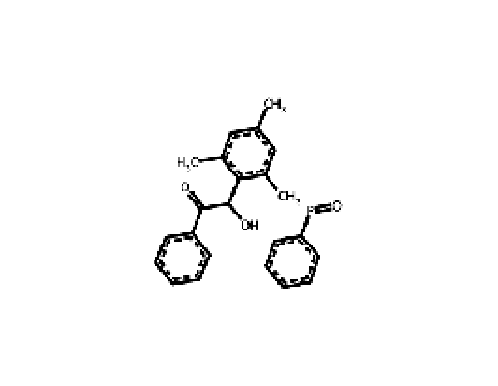 Cc1cc(C)c(C(O)C(=O)c2ccccc2)c(C)c1.O=Pc1ccccc1